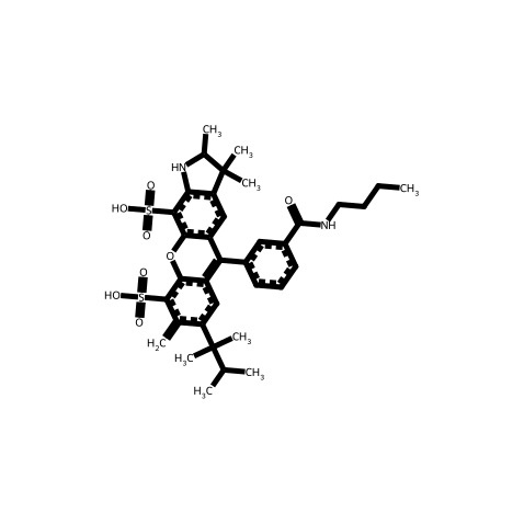 C=c1c(C(C)(C)C(C)C)cc2c(c1S(=O)(=O)O)Oc1c(cc3c(c1S(=O)(=O)O)NC(C)C3(C)C)C=2c1cccc(C(=O)NCCCC)c1